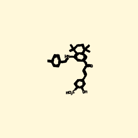 Cc1ccc(CNc2cc(C(=O)/C=C/c3ccc(C(=O)O)c(O)c3)cc3c2C(C)(C)CCC3(C)C)cc1